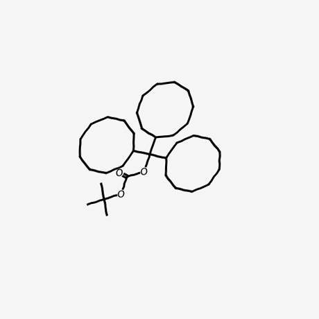 CC(C)(C)OC(=O)OC(C1CCCCCCCCC1)(C1CCCCCCCCC1)C1CCCCCCCCC1